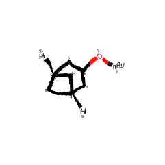 CCCCOC1C[C@H]2C[C@@H](C1)C2